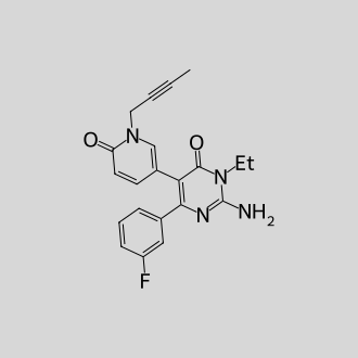 CC#CCn1cc(-c2c(-c3cccc(F)c3)nc(N)n(CC)c2=O)ccc1=O